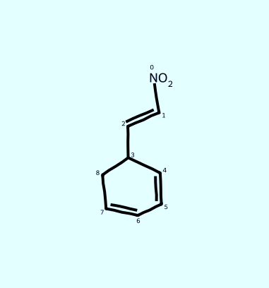 O=[N+]([O-])C=CC1C=CC=CC1